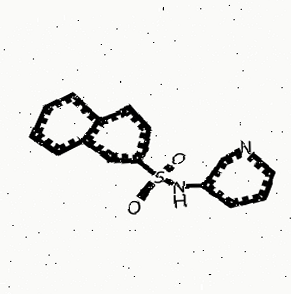 O=S(=O)(Nc1cccnc1)c1ccc2ccccc2c1